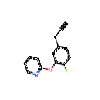 C#CCc1ccc(F)c(Oc2ccccn2)c1